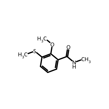 CNC(=O)c1cccc(SC)c1OC